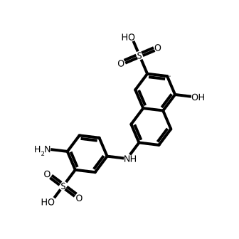 Nc1ccc(Nc2ccc3c(O)[c]c(S(=O)(=O)O)cc3c2)cc1S(=O)(=O)O